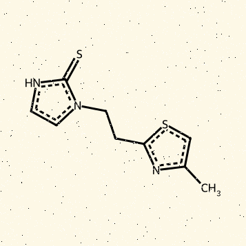 Cc1csc(CCn2cc[nH]c2=S)n1